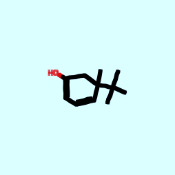 CC(C)(C)C1(C)C=CC=C(O)C1